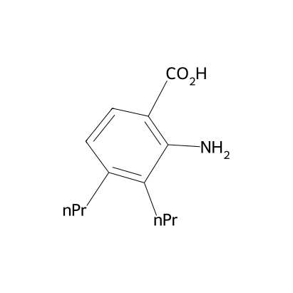 CCCc1ccc(C(=O)O)c(N)c1CCC